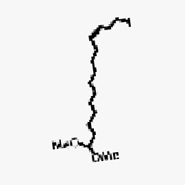 COC(CCCCCCCCC/C=C\CCI)OC